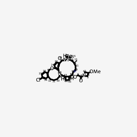 COC1CN(C(=O)CO[C@H]2/C=C/C[C@H](C)[C@@H](C)S(=O)(=O)NC(=O)c3ccc4c(c3)N(CCCCc3cc(Cl)ccc3CO4)C[C@@H]3CC[C@H]32)C1